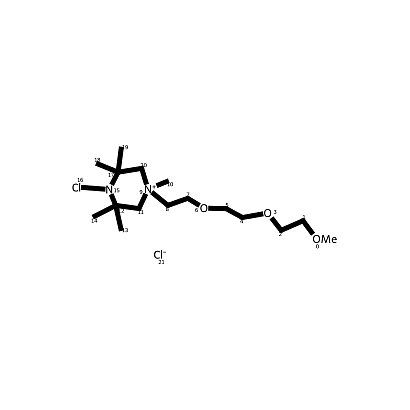 COCCOCCOCC[N+]1(C)CC(C)(C)N(Cl)C(C)(C)C1.[Cl-]